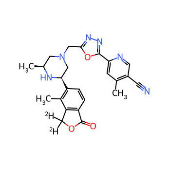 [2H]C1([2H])OC(=O)c2ccc([C@@H]3CN(Cc4nnc(-c5cc(C)c(C#N)cn5)o4)C[C@H](C)N3)c(C)c21